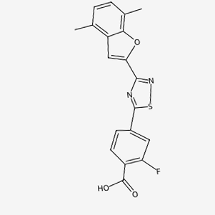 Cc1ccc(C)c2oc(-c3nsc(-c4ccc(C(=O)O)c(F)c4)n3)cc12